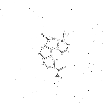 NC(=O)c1ccc2ccc(C(N)=O)c(-c3cccc(C(F)(F)F)c3)c2c1